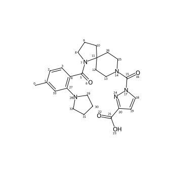 Cc1ccc(C(=O)N2CCCC23CCN(C(=O)n2ccc(C(=O)O)n2)CC3)c(N2CCCC2)c1